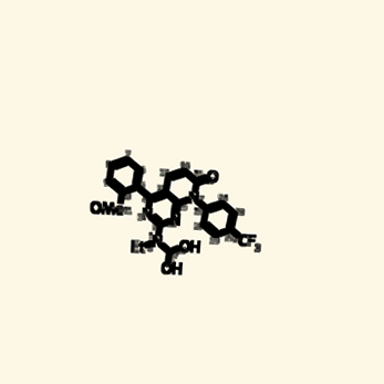 CCN(c1nc(-c2ccccc2OC)c2ccc(=O)n(-c3ccc(C(F)(F)F)cc3)c2n1)C(O)O